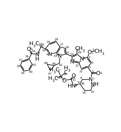 COc1cc(C(=O)N2C[C@H](NC(=O)OC(C)(C)C)CCN2)cc2nc(-c3cc4ccc([C@@H](C)NC(=O)c5ccccc5)nc4n3CC3CC3)c(C)n12